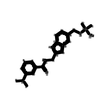 CN(C)c1cncc(C(=O)NCc2cn3cc(CO[Si](C)(C)C(C)(C)C)ccc3n2)c1